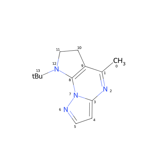 Cc1nc2ccnn2c2c1CCN2C(C)(C)C